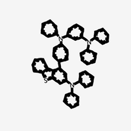 c1ccc(N(c2ccccc2)c2cccc(N(c3ccccc3)c3ccc(-c4cc(N(c5ccccc5)c5ccccc5)cc5sc6ccccc6c45)cc3)c2)cc1